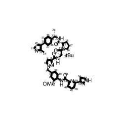 COc1cc(Cn2ccc(C(=O)N[C@H](C(=O)N3CCC[C@H]3C(=O)N[C@@H](C)c3ccc(-c4scnc4C)cc3)C(C)(C)C)n2)ccc1NC(=O)c1cccc(-c2cc[nH]n2)n1